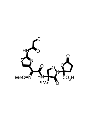 CON=C(C(=O)NC1(SC)CON(C2(C(=O)O)CCC(=O)O2)C1=O)c1csc(NC(=O)CCl)n1